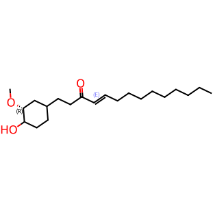 CCCCCCCCC/C=C/C(=O)CCC1CCC(O)[C@H](OC)C1